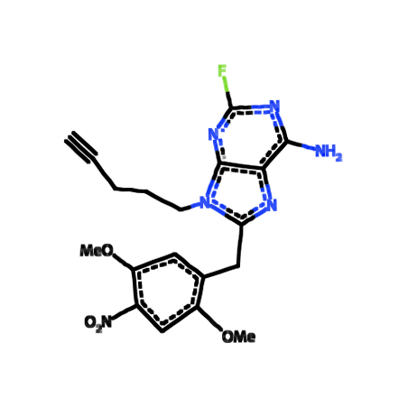 C#CCCCn1c(Cc2cc(OC)c([N+](=O)[O-])cc2OC)nc2c(N)nc(F)nc21